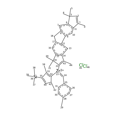 CC1=CC(C)(C)c2cc3c(cc21)-c1cc2c(cc1C3)C(C)(C)[C]([Zr+2](=[CH]c1ccc(C)cc1)[C]1=C(C)C([Si](C)(C)C)=CC1C)=C2C.[Cl-].[Cl-]